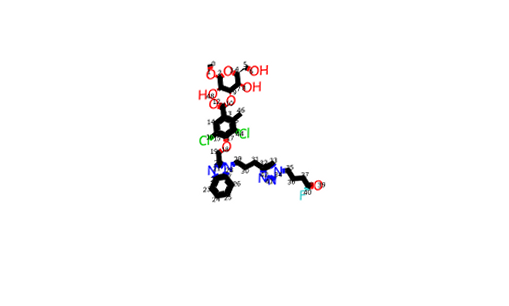 CO[C@H]1O[C@H](CO)[C@@H](O)[C@H](OC(=O)c2cc(Cl)c(OCc3nc4ccccc4n3CCCc3cn(CCCC(=O)F)nn3)c(Cl)c2C)[C@H]1O